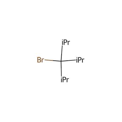 CC(C)C(Br)(C(C)C)C(C)C